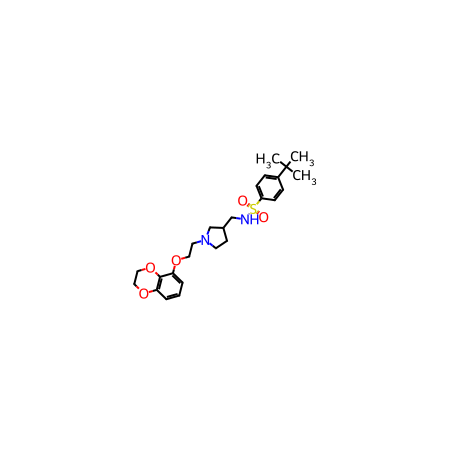 CC(C)(C)c1ccc(S(=O)(=O)NCC2CCN(CCOc3cccc4c3OCCO4)C2)cc1